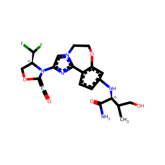 CC(CO)[C@H](Nc1ccc2c(c1)OCCn1cc(N3C(=C=O)OC[C@H]3C(F)F)nc1-2)C(N)=O